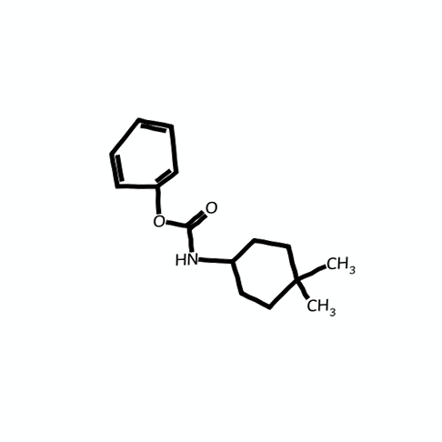 CC1(C)CCC(NC(=O)Oc2ccccc2)CC1